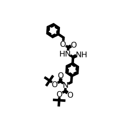 CC(C)(C)OC(=O)N(Cc1ccc(C(=N)NC(=O)OCc2ccccc2)cc1)C(=O)OC(C)(C)C